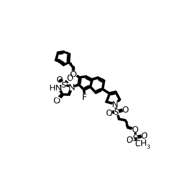 CS(=O)(=O)OCCCS(=O)(=O)N1CC=C(c2ccc3cc(OCc4ccccc4)c(N4CC(=O)NS4(=O)=O)c(F)c3c2)C1